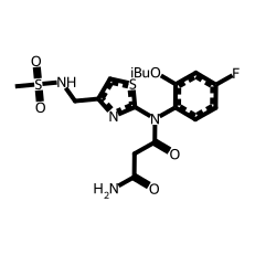 CC(C)COc1cc(F)ccc1N(C(=O)CC(N)=O)c1nc(CNS(C)(=O)=O)cs1